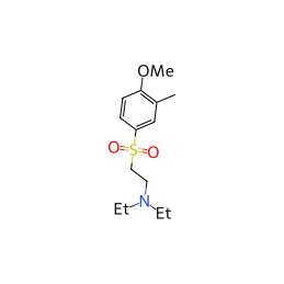 CCN(CC)CCS(=O)(=O)c1ccc(OC)c(C)c1